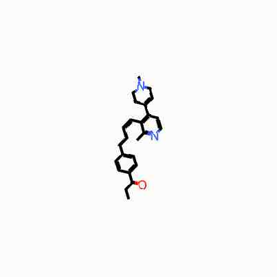 CCC(=O)c1ccc(CC/C=C\c2c(C3=CCN(C)CC3)ccnc2C)cc1